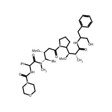 CC[C@H](C)[C@@H]([C@@H](CC(=O)N1CCCC1[C@H](OC)[C@@H](C)C(=O)NC(CO)Cc1ccccc1)OC)N(C)C(=O)C(NC(=O)N1CCOCC1)C(C)C